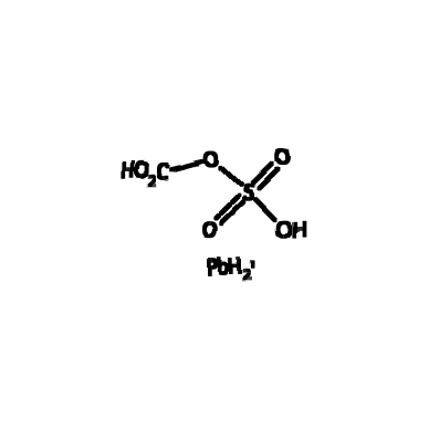 O=C(O)OS(=O)(=O)O.[PbH2]